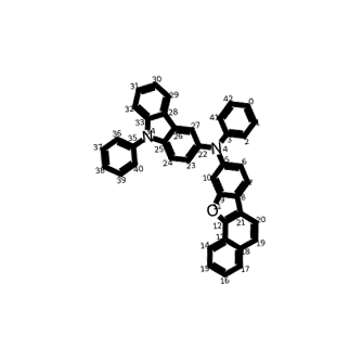 c1ccc(N(c2ccc3c(c2)oc2c4ccccc4ccc32)c2ccc3c(c2)c2ccccc2n3-c2ccccc2)cc1